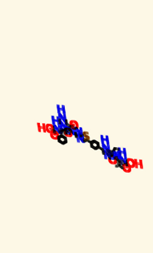 CC(C)[C@H](NC(=O)O)C(=O)N1CCCC1[C@H]1NCC(c2ccc(C3Cn4cc(NC(=O)C5CNCCN5C(=O)[C@H](NC(=O)O)c5ccccc5)nc4S3)cc2)N1